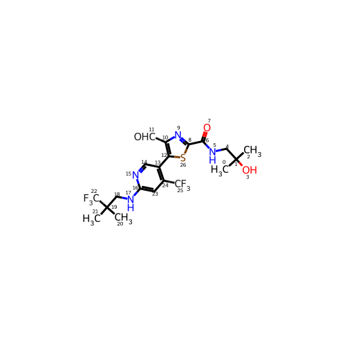 CC(C)(O)CNC(=O)c1nc(C=O)c(-c2cnc(NCC(C)(C)C(F)(F)F)cc2C(F)(F)F)s1